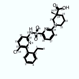 CCc1ccccc1-c1nc(NS(=O)(=O)c2cccc(N3CCC[C@@](C)(C(=O)O)C3)n2)ccc1Cl